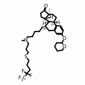 CN(CCCCC[C@@H]1Cc2cc(OC3CCCCO3)ccc2[C@H]2CC[C@]3(C)C(=O)CC[C@H]3[C@H]12)CCCSCCCC(F)(F)C(F)(F)F